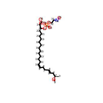 CO[C@H](C)C/C=C/CC/C=C\CCCCCCCCCCCC[C@@H](CC=O)OP(=O)(O)OCCN=O